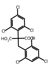 O=C(O)C(Cc1c(Cl)cc(Cl)cc1Cl)(C(=O)O)c1c(Cl)cc(Cl)cc1Cl